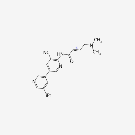 CC(C)c1cncc(-c2cnc(NC(=O)/C=C/CN(C)C)c(C#N)c2)c1